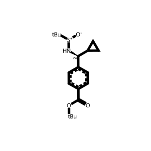 CC(C)(C)OC(=O)c1ccc([C@@H](N[S+]([O-])C(C)(C)C)C2CC2)cc1